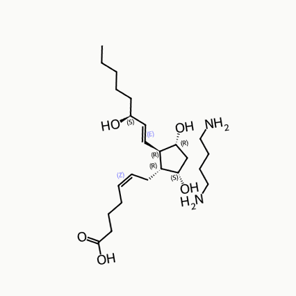 CCCCC[C@H](O)/C=C/[C@@H]1[C@@H](C/C=C\CCCC(=O)O)[C@@H](O)C[C@H]1O.NCCCCN